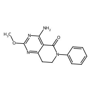 COc1nc(N)c2c(n1)CCN(c1ccccc1)C2=O